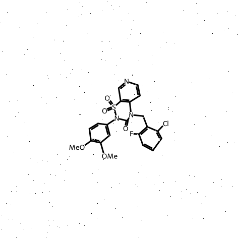 COc1ccc(N2C(=O)N(Cc3c(F)cccc3Cl)c3ccncc3S2(=O)=O)cc1OC